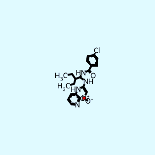 CCC(CC)C(NC(=O)c1ccc(Cl)cc1)N/C(=C/[N+](=O)[O-])Nc1cccnc1